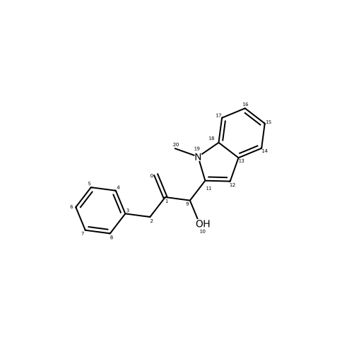 C=C(Cc1ccccc1)C(O)c1cc2ccccc2n1C